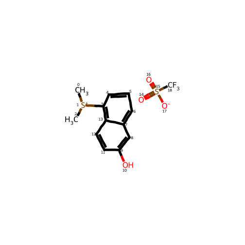 C[S+](C)c1cccc2cc(O)ccc12.O=S(=O)([O-])C(F)(F)F